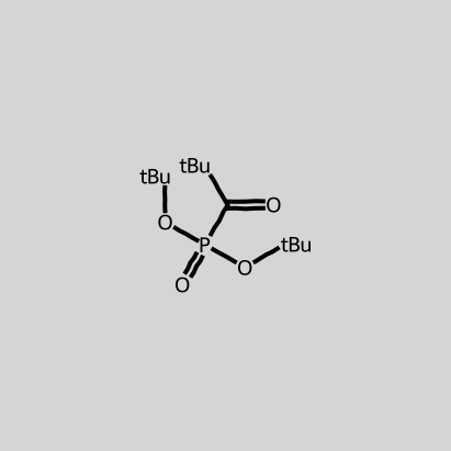 CC(C)(C)OP(=O)(OC(C)(C)C)C(=O)C(C)(C)C